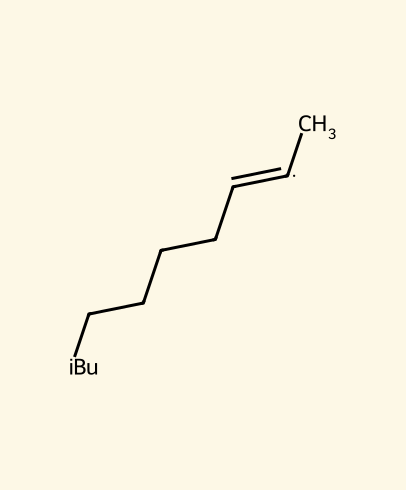 C[C]=CCCCCC(C)CC